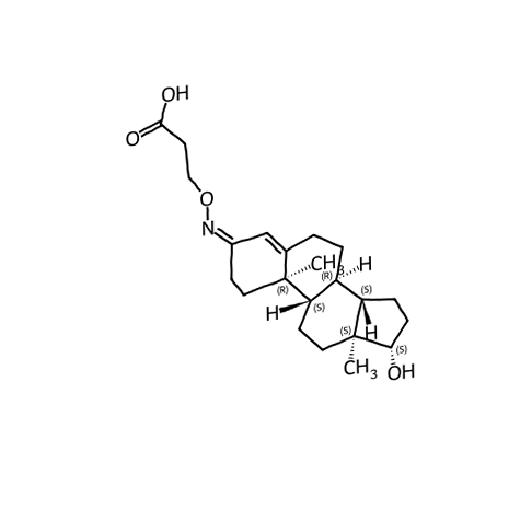 C[C@]12CC[C@H]3[C@@H](CCC4=CC(=NOCCC(=O)O)CC[C@@]43C)[C@@H]1CC[C@@H]2O